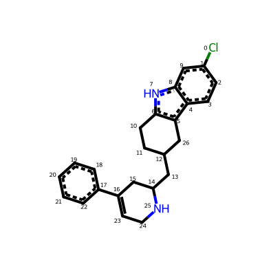 Clc1ccc2c3c([nH]c2c1)CCC(CC1CC(c2ccccc2)=CCN1)C3